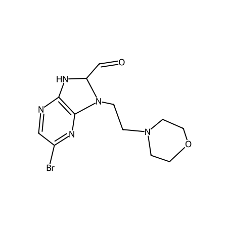 O=CC1Nc2ncc(Br)nc2N1CCN1CCOCC1